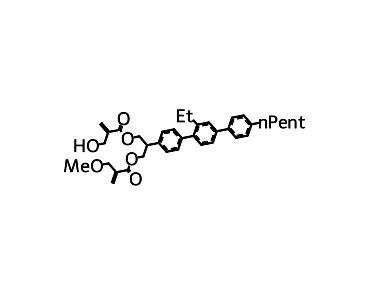 C=C(CO)C(=O)OCC(COC(=O)C(=C)COC)c1ccc(-c2ccc(-c3ccc(CCCCC)cc3)cc2CC)cc1